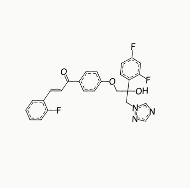 O=C(C=Cc1ccccc1F)c1ccc(OCC(O)(Cn2cncn2)c2ccc(F)cc2F)cc1